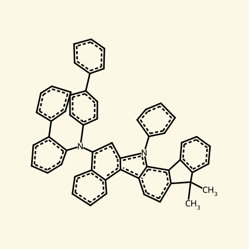 CC1(C)c2ccccc2-c2c1ccc1c3c4ccccc4c(N(c4ccc(-c5ccccc5)cc4)c4ccccc4-c4ccccc4)cc3n(-c3ccccc3)c21